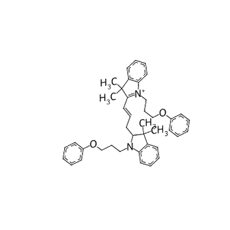 CC1(C)C(C=CCC2N(CCCOc3ccccc3)c3ccccc3C2(C)C)=[N+](CCCOc2ccccc2)c2ccccc21